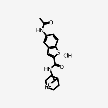 CC(=O)Nc1ccc2sc(C(=O)NC3CN4CCC3CC4)cc2c1.Cl